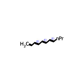 C=C/C=C/C=C/C=C/CCC